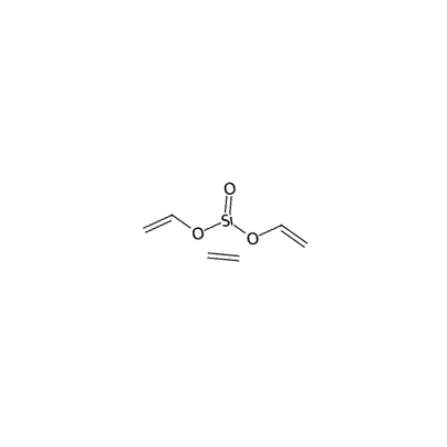 C=C.C=CO[Si](=O)OC=C